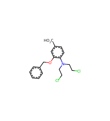 O=C(O)c1ccc(N(CCCl)CCCl)c(OCc2ccccc2)c1